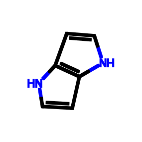 c1cc2[nH]ccc2[nH]1